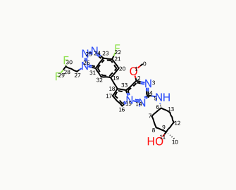 COc1nc(N[C@H]2CC[C@](C)(O)CC2)nn2ccc(-c3cc(F)c4nnn(CC(F)F)c4c3)c12